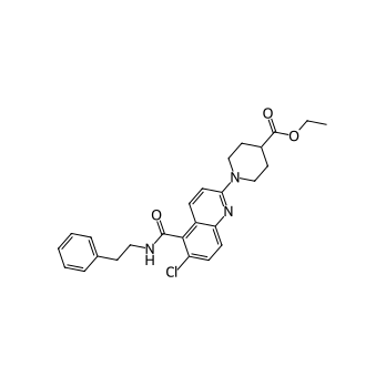 CCOC(=O)C1CCN(c2ccc3c(C(=O)NCCc4ccccc4)c(Cl)ccc3n2)CC1